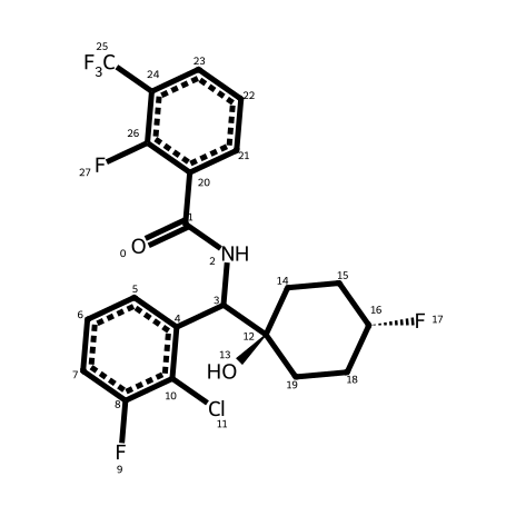 O=C(NC(c1cccc(F)c1Cl)[C@]1(O)CC[C@H](F)CC1)c1cccc(C(F)(F)F)c1F